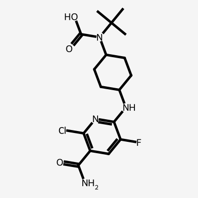 CC(C)(C)N(C(=O)O)C1CCC(Nc2nc(Cl)c(C(N)=O)cc2F)CC1